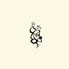 CCOC=O.OC1(Cc2ccc(F)cc2)CCNCC1